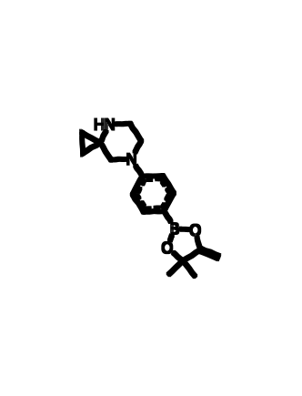 C=C1OB(c2ccc(N3CCNC4(CC4)C3)cc2)OC1(C)C